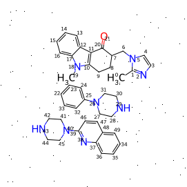 Cc1nccn1CC1CCc2c(c3ccccc3n2C)C1=O.c1ccc(N2CCNCC2)cc1.c1ccc2nc(N3CCNCC3)ccc2c1